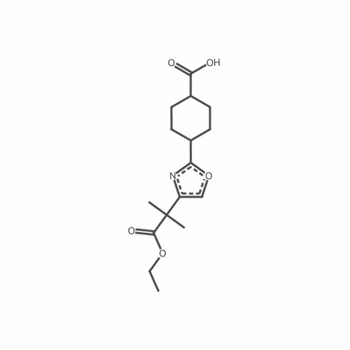 CCOC(=O)C(C)(C)c1coc(C2CCC(C(=O)O)CC2)n1